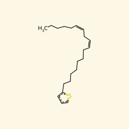 CCCCC/C=C\C/C=C\CCCCCCCc1cccs1